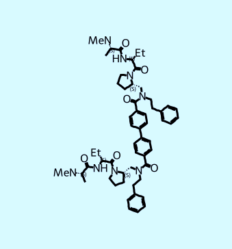 CC[C@H](NC(=O)[C@H](C)NC)C(=O)N1CCC[C@H]1CN(CCc1ccccc1)C(=O)c1ccc(-c2ccc(C(=O)N(CCc3ccccc3)C[C@@H]3CCCN3C(=O)[C@H](CC)NC(=O)[C@H](C)NC)cc2)cc1